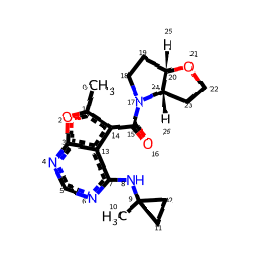 Cc1oc2ncnc(NC3(C)CC3)c2c1C(=O)N1CC[C@@H]2OCC[C@@H]21